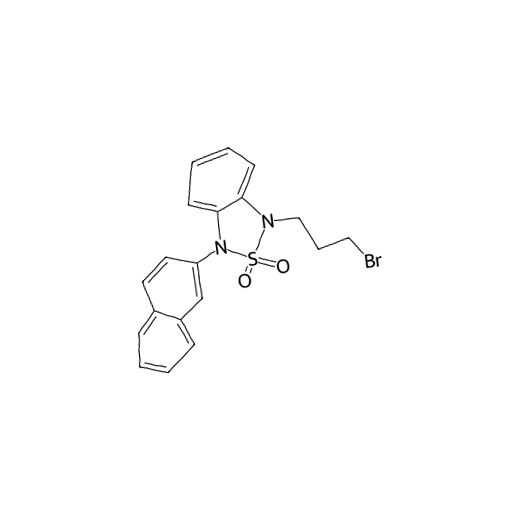 O=S1(=O)N(CCCBr)c2ccccc2N1c1ccc2ccccc2c1